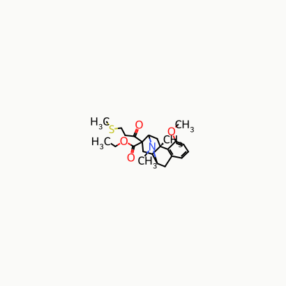 CCOC(=O)C1(C(=O)CCSC)CC2C3Cc4cccc(OC)c4[C@@]2(C)CC1N3C